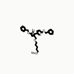 CCn1c(OCc2ccccc2)cc(COCCCCCOC)c1-c1ccc(OCc2ccccc2)cc1